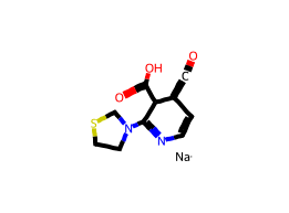 O=C=C1C=CN=C(N2CCSC2)C1C(=O)O.[Na]